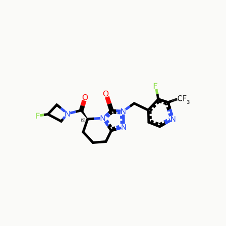 O=C([C@@H]1CCCc2nn(Cc3ccnc(C(F)(F)F)c3F)c(=O)n21)N1CC(F)C1